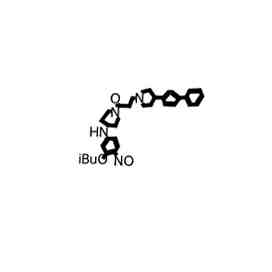 CC(C)COc1cc(NC2CCN(C(=O)CCN3CCC(c4ccc(-c5ccccc5)cc4)CC3)CC2)ccc1N=O